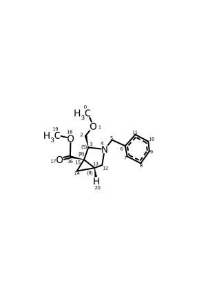 COC[C@H]1N(Cc2ccccc2)C[C@@H]2C[C@@]21C(=O)OC